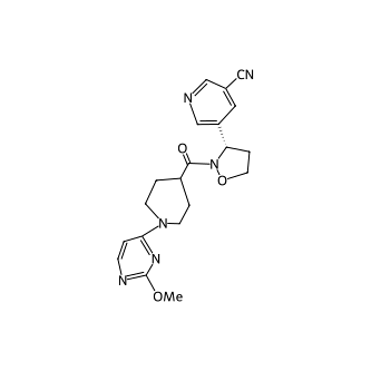 COc1nccc(N2CCC(C(=O)N3OCC[C@H]3c3cncc(C#N)c3)CC2)n1